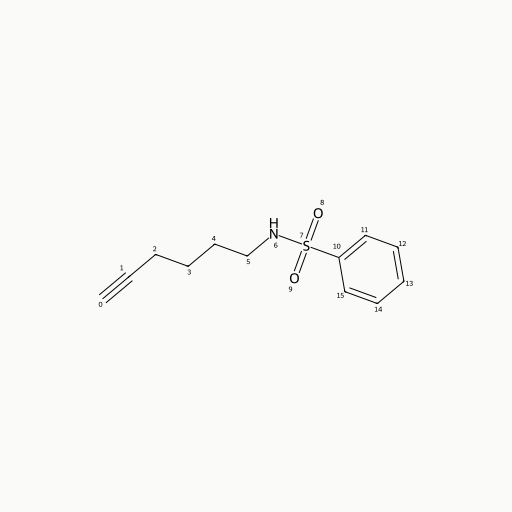 C#CCCCCNS(=O)(=O)c1ccccc1